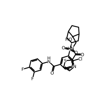 O=C(Nc1ccc(F)c(F)c1)c1ccc(Cl)c(S(=O)(=O)[C@H]2CC3CCC(C2)[C@]3(O)CNC(=O)c2nccs2)c1